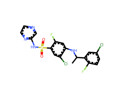 CC(Nc1cc(F)c(S(=O)(=O)Nc2cnccn2)cc1Cl)c1cc(Cl)ccc1F